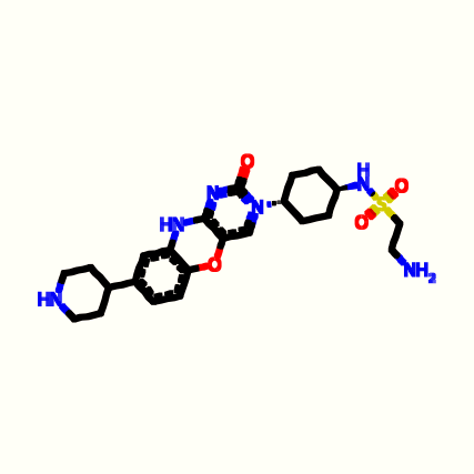 NCCS(=O)(=O)N[C@H]1CC[C@H](n2cc3c(nc2=O)Nc2cc(C4CCNCC4)ccc2O3)CC1